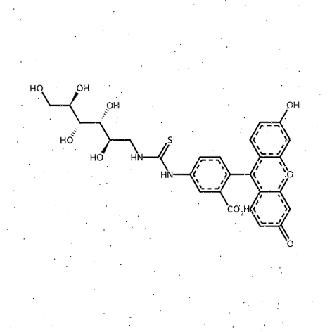 O=C(O)c1cc(NC(=S)NC[C@@H](O)[C@@H](O)[C@H](O)[C@H](O)CO)ccc1-c1c2ccc(=O)cc-2oc2cc(O)ccc12